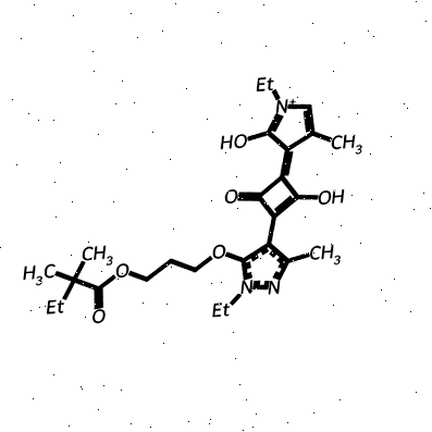 CCn1nc(C)c(C2=C(O)/C(=C3\C(C)=C[N+](CC)=C3O)C2=O)c1OCCCOC(=O)C(C)(C)CC